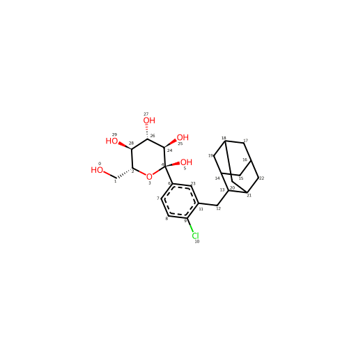 OC[C@H]1O[C@@](O)(c2ccc(Cl)c(CC3C4CC5CC(C4)CC3C5)c2)[C@H](O)[C@@H](O)[C@@H]1O